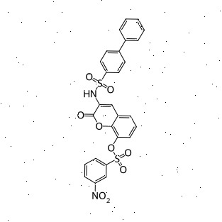 O=c1oc2c(OS(=O)(=O)c3cccc([N+](=O)[O-])c3)cccc2cc1NS(=O)(=O)c1ccc(-c2ccccc2)cc1